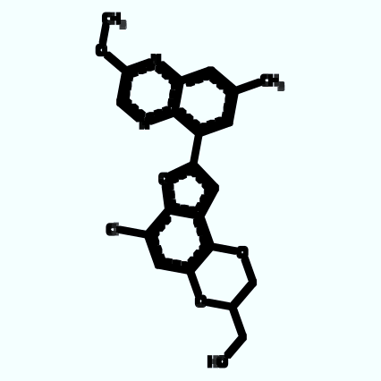 COc1cnc2c(-c3cc4c5c(cc(Cl)c4o3)OC(CO)CO5)cc(C)cc2n1